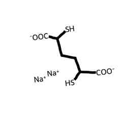 O=C([O-])C(S)CCC(S)C(=O)[O-].[Na+].[Na+]